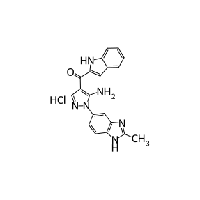 Cc1nc2cc(-n3ncc(C(=O)c4cc5ccccc5[nH]4)c3N)ccc2[nH]1.Cl